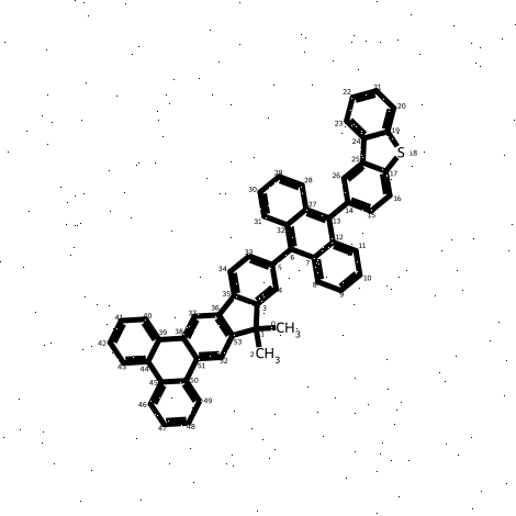 CC1(C)c2cc(-c3c4ccccc4c(-c4ccc5sc6ccccc6c5c4)c4ccccc34)ccc2-c2cc3c4ccccc4c4ccccc4c3cc21